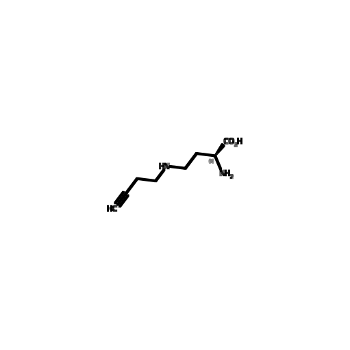 C#CCCNCC[C@H](N)C(=O)O